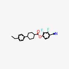 CCc1ccc(C2CCC(C(=O)Oc3ccc(C#N)c(F)c3F)CC2)cc1